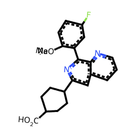 COc1ccc(F)cc1-c1nc(C2CCC(C(=O)O)CC2)cc2cccnc12.[Na]